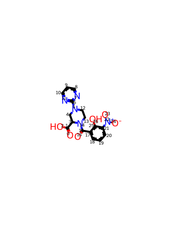 O=C(O)C1CN(c2ncccn2)CCN1C(=O)c1cccc([N+](=O)[O-])c1O